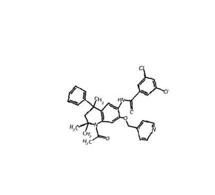 CC(=O)N1c2cc(OCc3ccncc3)c(NC(=O)c3cc(Cl)cc(Cl)c3)cc2C(C)(c2ccccc2)CC1(C)C